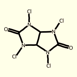 O=C1N(Cl)C2C(N1Cl)N(Cl)C(=O)N2Cl